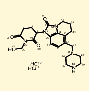 Cl.Cl.O=C1CCC(n2c(=O)n3c4c(c(CN5CCNCC5)ccc42)CCC3)C(=O)N1CO